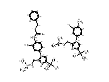 C[SiH](C)OCc1nc(C(C)(C)C)cn1-c1ccc(N)c(F)c1.C[SiH](C)OCc1nc(C(C)(C)C)cn1-c1ccc(NC(=O)OCc2ccccc2)c(F)c1